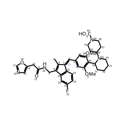 COc1cc(/C=C2/C(C)=C(CNC(=O)Cc3cnco3)c3cc(F)ccc32)cc(OC)c1C1CCCCN1C1CCN(C(=O)O)CC1